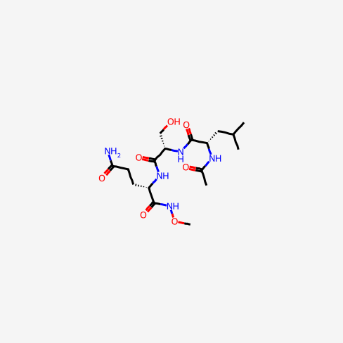 CONC(=O)[C@H](CCC(N)=O)NC(=O)[C@H](CO)NC(=O)[C@H](CC(C)C)NC(C)=O